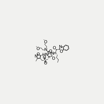 CCCC[C@H](NC(=O)[C@H](CS(=O)(=O)Cc1c(C)noc1C)NC(=O)N(CCOC)CCOC)C(=O)c1nc2ccccc2o1